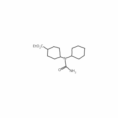 CCOC(=O)C1CCC(N(C(N)=O)C2CCCCC2)CC1